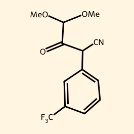 COC(OC)C(=O)C(C#N)c1cccc(C(F)(F)F)c1